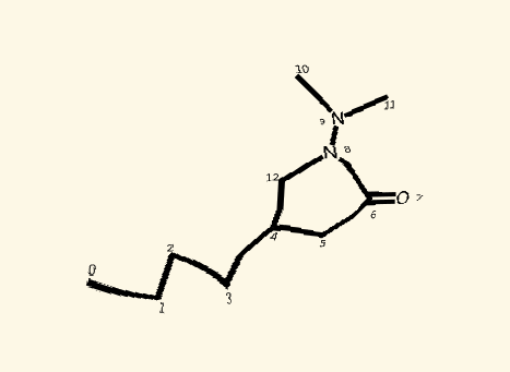 CCCCC1CC(=O)N(N(C)C)C1